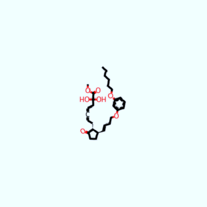 CCCCCCOc1cccc(OCC/C=C/[C@H]2CCC(=O)[C@@H]2CC=C=CCC(O)(O)C(=O)OC)c1